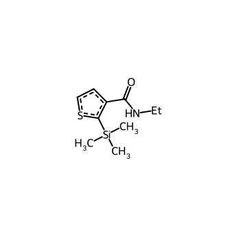 CCNC(=O)c1ccsc1[Si](C)(C)C